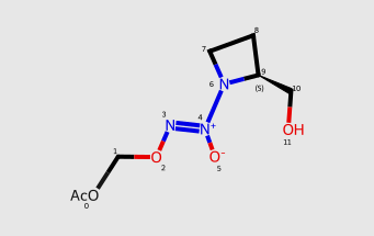 CC(=O)OCON=[N+]([O-])N1CC[C@H]1CO